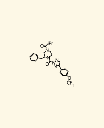 CC(C)C(=O)N1CCN(C(=O)n2ncc(-c3ccc(OC(F)(F)F)cc3)n2)C(Cc2ccccc2)C1